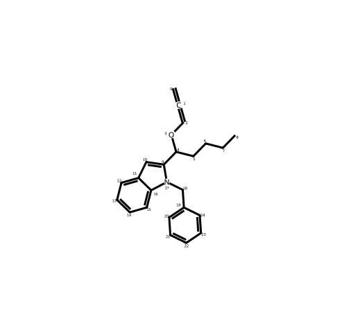 C=C=COC(CCCC)c1cc2ccccc2n1Cc1ccccc1